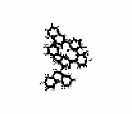 c1ccc2cc(-c3ccc4oc5cccc(-c6nc(-c7cc8ccccc8c8ccccc78)c7sc8ccccc8c7n6)c5c4c3)ccc2c1